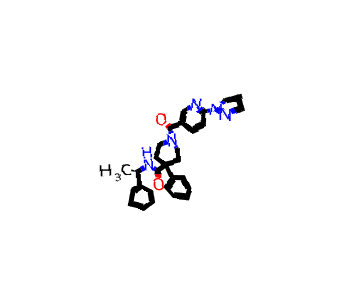 C[C@H](NC(=O)C1(c2ccccc2)CCN(C(=O)c2ccc(-n3cccn3)nc2)CC1)c1ccccc1